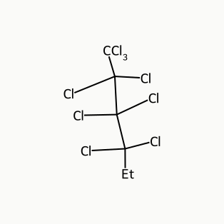 [CH2]CC(Cl)(Cl)C(Cl)(Cl)C(Cl)(Cl)C(Cl)(Cl)Cl